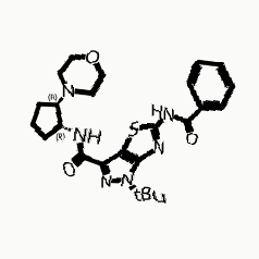 CC(C)(C)n1nc(C(=O)N[C@@H]2CCC[C@H]2N2CCOCC2)c2sc(NC(=O)c3ccccc3)nc21